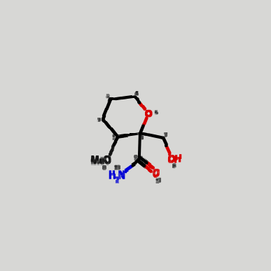 COC1CCCOC1(CO)C(N)=O